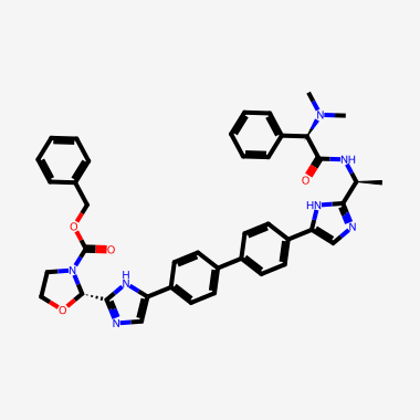 C[C@H](NC(=O)[C@@H](c1ccccc1)N(C)C)c1ncc(-c2ccc(-c3ccc(-c4cnc([C@@H]5OCCN5C(=O)OCc5ccccc5)[nH]4)cc3)cc2)[nH]1